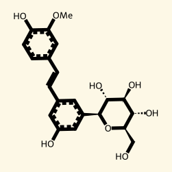 COc1cc(/C=C/c2cc(O)cc([C@@H]3O[C@H](CO)[C@@H](O)[C@H](O)[C@H]3O)c2)ccc1O